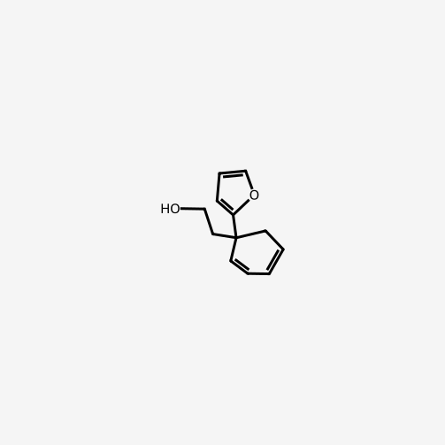 OCCC1(c2ccco2)C=CC=CC1